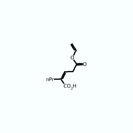 C=COC(=O)CC=C(CCC)C(=O)O